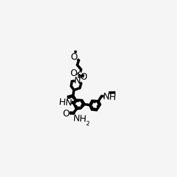 CCNCc1cccc(-c2cc(C(N)=O)c3[nH]cc(C4CCN(S(=O)(=O)CCCOC)CC4)c3c2)c1